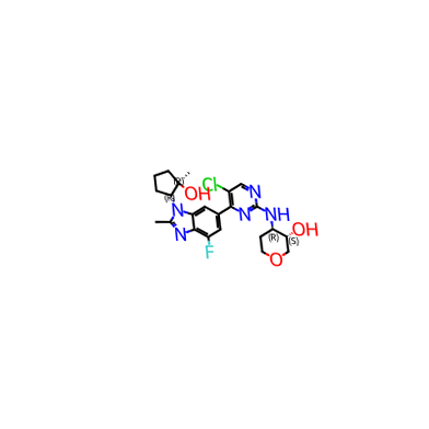 Cc1nc2c(F)cc(-c3nc(N[C@@H]4CCOC[C@H]4O)ncc3Cl)cc2n1[C@@H]1CCC[C@@]1(C)O